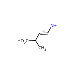 CC(/C=C/[NH])C(=O)O